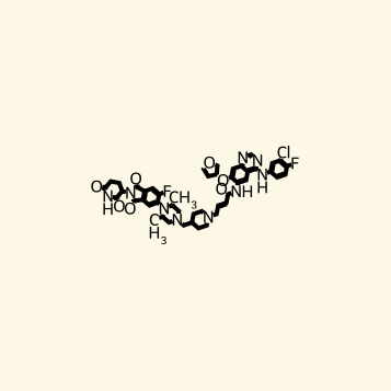 CC1CN(CC2CCN(C/C=C/C(=O)Nc3cc4c(Nc5ccc(F)c(Cl)c5)ncnc4cc3OC3CCOC3)CC2)CC(C)N1c1cc2c(cc1F)C(=O)N(C1CCC(=O)NC1=O)C2=O